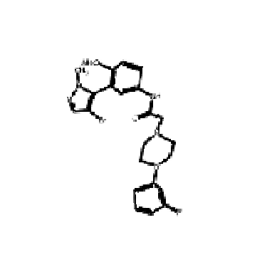 COc1ccc(NC(=O)CN2CCN(c3cccc(F)c3)CC2)cc1-c1c(Br)cnn1C